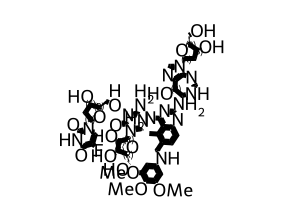 COc1cc(NCc2ccc3nc(N)nc(N)c3c2C)cc(OC)c1OC.Nc1ncn([C@@H]2O[C@H](CO)[C@@H](O)[C@H]2O)c(=O)n1.O=c1[nH]c(=O)n([C@H]2C[C@H](O)[C@@H](CO)O2)cc1F.OC[C@H]1O[C@@H](n2cnc3c2N=CNC[C@H]3O)C[C@@H]1O